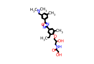 CCc1cc(-c2noc(-c3cc(C)cc(CN(C)C)c3)n2)cc(C)c1OC[C@@H](O)CNC(=O)CO